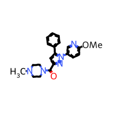 COc1ccc(-n2nc(C(=O)N3CCN(C)CC3)cc2-c2ccccc2)cn1